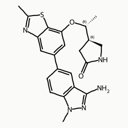 Cc1nc2cc(-c3ccc4c(c3)c(N)nn4C)cc(O[C@H](C)[C@H]3CNC(=O)C3)c2s1